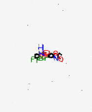 CCC1Oc2cc(S(=O)(=O)Nc3ccc(F)c(F)c3)c(Br)cc2N(C)C1=O